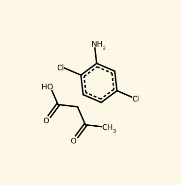 CC(=O)CC(=O)O.Nc1cc(Cl)ccc1Cl